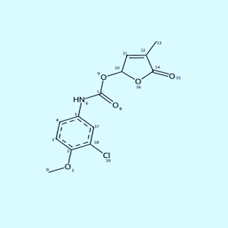 COc1ccc(NC(=O)OC2C=C(C)C(=O)O2)cc1Cl